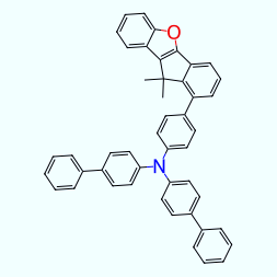 CC1(C)c2c(-c3ccc(N(c4ccc(-c5ccccc5)cc4)c4ccc(-c5ccccc5)cc4)cc3)cccc2-c2oc3ccccc3c21